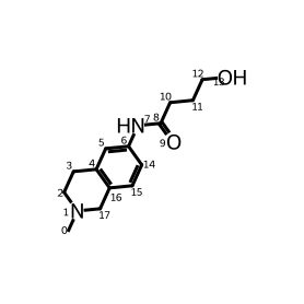 CN1CCc2cc(NC(=O)CCCO)ccc2C1